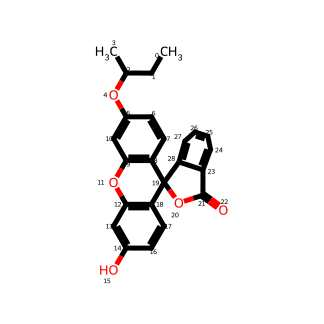 CCC(C)Oc1ccc2c(c1)Oc1cc(O)ccc1C21OC(=O)c2ccccc21